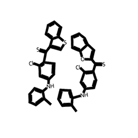 Cc1ccccc1Nc1ccc(C(=S)c2cc3ccccc3o2)c(Cl)c1.Cc1ccccc1Nc1ccc(C(=S)c2csc3ccccc23)c(Cl)c1